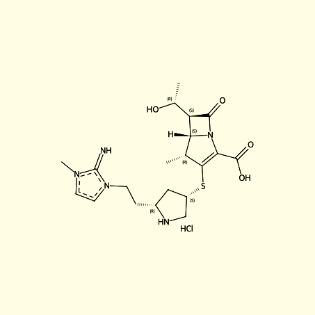 C[C@@H](O)[C@H]1C(=O)N2C(C(=O)O)=C(S[C@@H]3CN[C@H](CCn4ccn(C)c4=N)C3)[C@H](C)[C@H]12.Cl